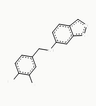 Oc1ccc(CNc2ccc3cn[nH]c3c2)cc1O